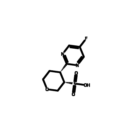 O=S(=O)(O)[C@@H]1COCC[C@@H]1c1ncc(F)cn1